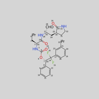 CC(C)C[C@H](NC(=O)O[C@@H](c1ccccc1)C(F)(F)c1cccc(C(C)C)c1)C(=O)N[C@H](C=O)C[C@@H]1CCNC1=O